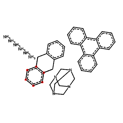 C1N2CN3CN1CN(C2)C3.N.N.N.N.N.N.c1ccc2c(c1)C1c3ccccc3C2c2ccccc21.c1ccc2c(c1)c1ccccc1c1ccccc21